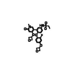 CCS(=O)(=O)Nc1ccc(Oc2ccc(OC3COC3)cc2F)c(-c2cn(C)c(=O)cc2OC2COC2)c1